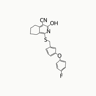 N#Cc1c(O)nc(SCc2cccc(Oc3ccc(F)cc3)c2)c2c1CCCC2